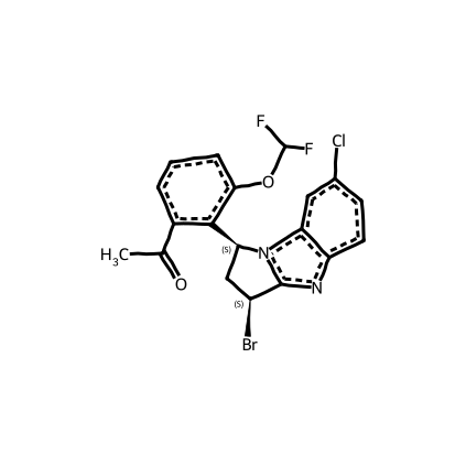 CC(=O)c1cccc(OC(F)F)c1[C@@H]1C[C@H](Br)c2nc3ccc(Cl)cc3n21